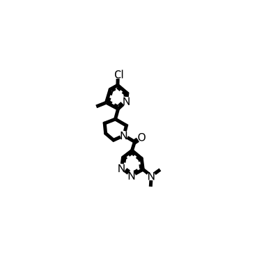 Cc1cc(Cl)cnc1C1CCCN(C(=O)c2cnnc(N(C)C)c2)C1